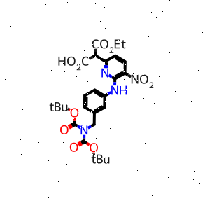 CCOC(=O)C(C(=O)O)c1ccc([N+](=O)[O-])c(Nc2cccc(CN(C(=O)OC(C)(C)C)C(=O)OC(C)(C)C)c2)n1